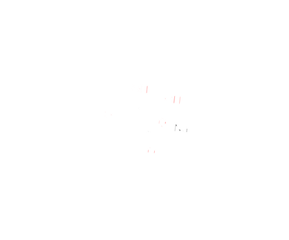 C=CC(=O)[O-].OCC(O)CO.[Na+]